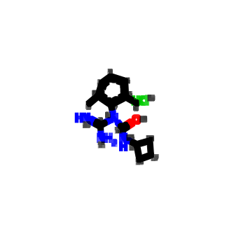 Cc1cccc(C)c1N(C(=N)N)C(=O)NC1CCC1.Cl